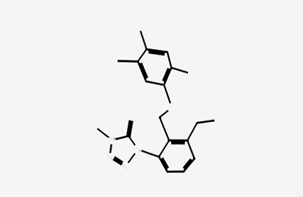 CCc1cccc(-n2nnn(C)c2=O)c1COc1cc(C)c(C)cc1Cl